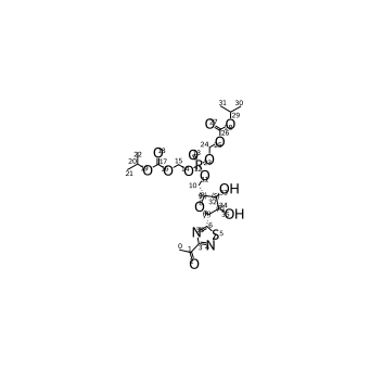 CC(=O)c1nsc([C@@H]2O[C@H](COP(=O)(OCOC(=O)OC(C)C)OCOC(=O)OC(C)C)[C@@H](O)[C@H]2O)n1